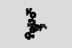 CC(C)(F)Cn1/c(=N/C(=O)c2cccc(C(F)(F)F)c2)[nH]c2cc(N3CCCOC3=O)ccc21